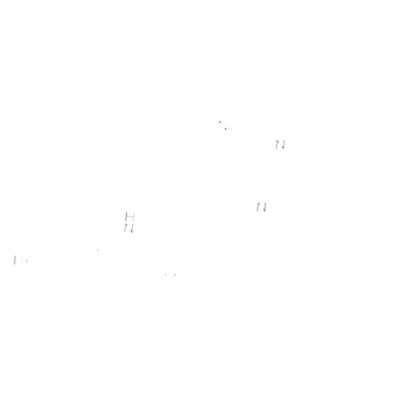 Cn1cnc2cc(C(=O)NC(C)(CO)C3CCCCC3)cnc21